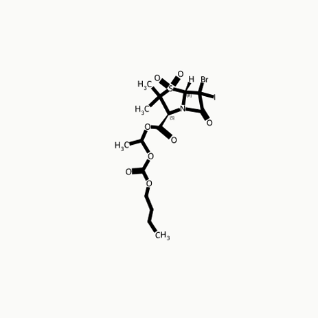 CCCCOC(=O)OC(C)OC(=O)[C@@H]1N2C(=O)C(Br)(I)[C@H]2S(=O)(=O)C1(C)C